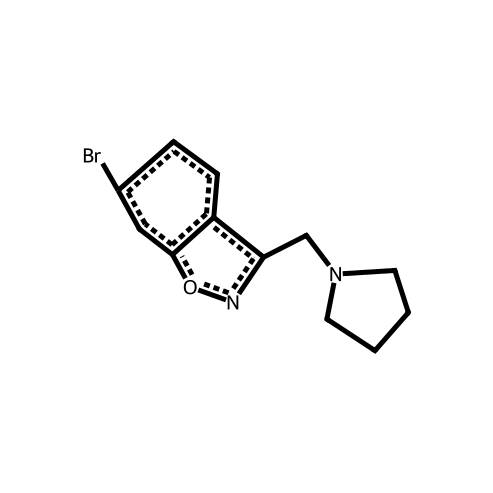 Brc1ccc2c(CN3CCCC3)noc2c1